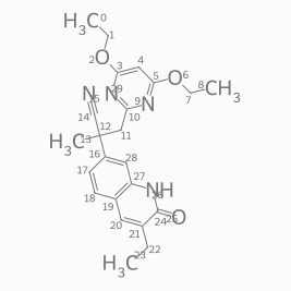 CCOc1cc(OCC)nc(CC(C)(C#N)c2ccc3cc(CC)c(=O)[nH]c3c2)n1